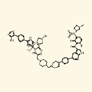 Cc1ncsc1-c1ccc(-c2cnc([C@@H]3C[C@@H](O)CN3C(=O)[C@@H](NC(=O)CN3CCC(CN4CCN(c5ccc(-c6cnc7[nH]cc(C(=O)c8c(F)ccc(N(N9CC[C@@H](F)C9)[SH](=O)=O)c8F)c7c6)cc5)CC4)CC3)C(C)(C)C)[nH]2)cc1